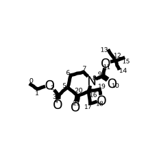 CCOC(=O)C1CCN(C(=O)OC(C)(C)C)C2(COC2)C1=O